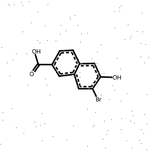 O=C(O)c1ccc2cc(O)c(Br)cc2c1